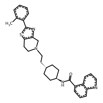 Cc1ccccc1-c1nc2c(s1)CCN(CC[C@H]1CC[C@H](NC(=O)c3cccc4ncccc34)CC1)C2